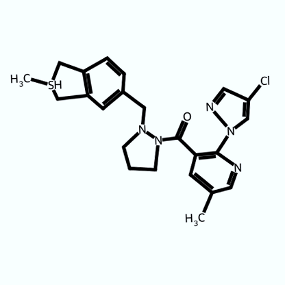 Cc1cnc(-n2cc(Cl)cn2)c(C(=O)N2CCCN2Cc2ccc3c(c2)C[SH](C)C3)c1